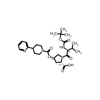 CC(C)[C@H](NC(=O)OC(C)(C)C)C(=O)N1C[C@H](OC(=O)N2CCC(c3ccccn3)CC2)C[C@H]1C(=O)O